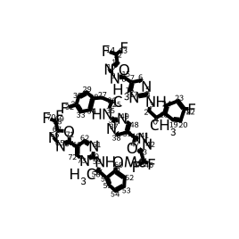 CC(CNc1ncc(-c2nnc(C(F)F)o2)cn1)c1ccc(F)cc1.CC(Cc1ccc(F)cc1)Nc1ncc(-c2nnc(C(F)F)o2)cn1.COc1ccccc1C(C)Nc1ncc(-c2nnc(C(F)F)o2)cn1